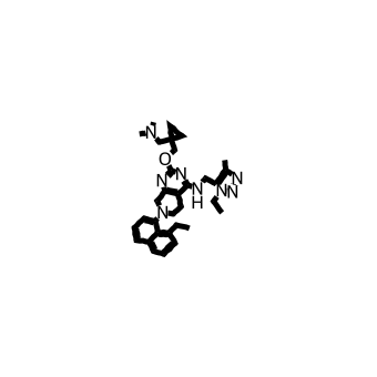 CCc1cccc2cccc(N3CCc4c(nc(OCC5(CN(C)C)CC5)nc4NCc4c(C)nnn4CC)C3)c12